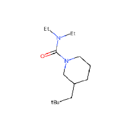 CCN(CC)C(=O)N1CCCC(CC(C)(C)C)C1